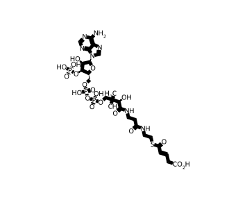 CC(C)(COP(=O)(O)OP(=O)(O)OC[C@H]1O[C@@H](n2cnc3c(N)ncnc32)[C@H](O)[C@@H]1OP(=O)(O)O)[C@@H](O)C(=O)NCCC(=O)NCCSC(=O)/C=C/CC(=O)O